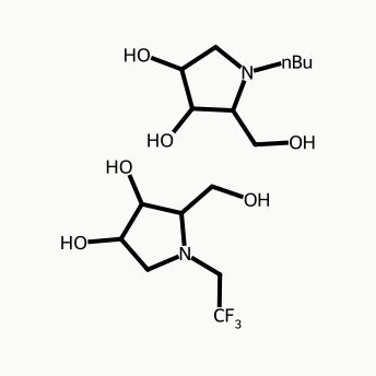 CCCCN1CC(O)C(O)C1CO.OCC1C(O)C(O)CN1CC(F)(F)F